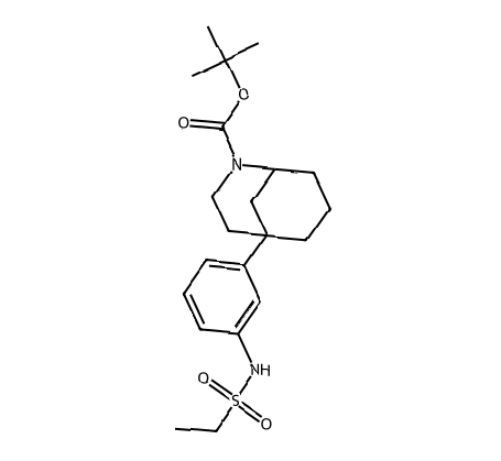 CCS(=O)(=O)Nc1cccc(C23CCCC(C2)N(C(=O)OC(C)(C)C)CC3)c1